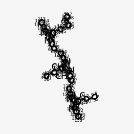 Cc1cc(-c2ccccc2)ccc1-c1cc2c3c(c1)n1c4cc5cc(-c6ccc7cc8nc9n(c8cc7c6)c6cc(-c7c(C)cc(-c8ccccc8)cc7C)cc7c6n9c6nc8cc9ccc(-c%10ccc%11cc%12nc%13n(c%12cc%11c%10)c%10cc(-c%11ccc(-c%12cccc%14c%12oc%12ccccc%12%14)cc%11)cc%11c%10n%13c%10nc%12cc%13ccccc%13cc%12n%11%10)cc9cc8n76)ccc5cc4nc1n3c1nc3cc4ccccc4cc3n21